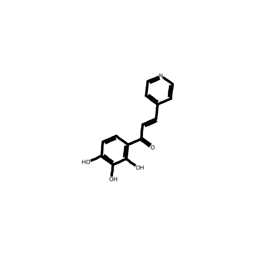 O=C(C=Cc1ccncc1)c1ccc(O)c(O)c1O